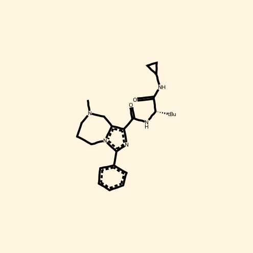 CN1CCCn2c(-c3ccccc3)nc(C(=O)N[C@H](C(=O)NC3CC3)C(C)(C)C)c2C1